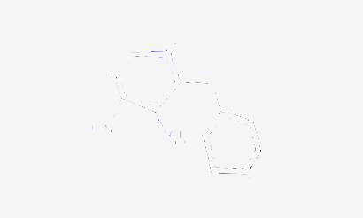 Nc1ncnc(Sc2ccccc2)c1N